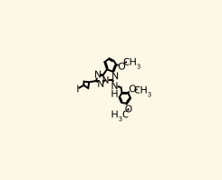 COc1ccc(CNc2nc3c(OC)cccc3c3nc(C4CC(I)C4)nn23)c(OC)c1